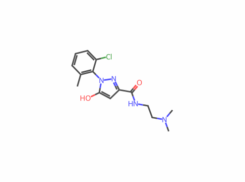 Cc1cccc(Cl)c1-n1nc(C(=O)NCCN(C)C)cc1O